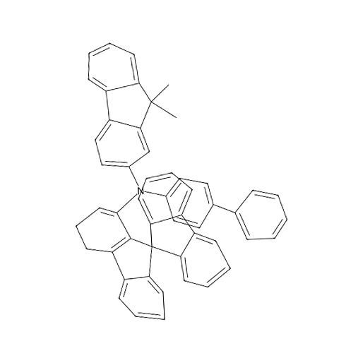 CC1(C)c2ccccc2-c2ccc(N(C3=CCCC4=C3C3(c5ccccc54)c4ccccc4-c4ccccc43)c3ccc(-c4ccccc4)cc3)cc21